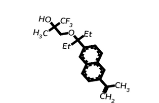 C=C(C)c1ccc2cc(C(CC)(CC)OCC(C)(O)C(F)(F)F)ccc2c1